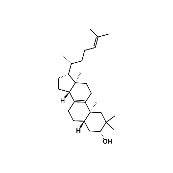 CC(C)=CCC[C@@H](C)[C@H]1CC[C@H]2C3=C(CC[C@]12C)[C@@]1(C)CC(C)(C)[C@H](O)C[C@@H]1CC3